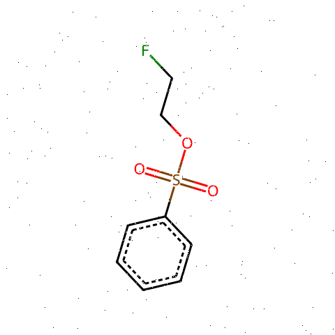 O=S(=O)(OCCF)c1ccccc1